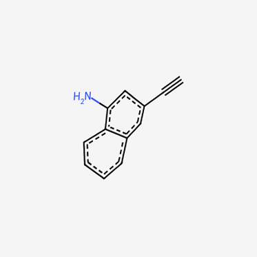 C#Cc1cc(N)c2ccccc2c1